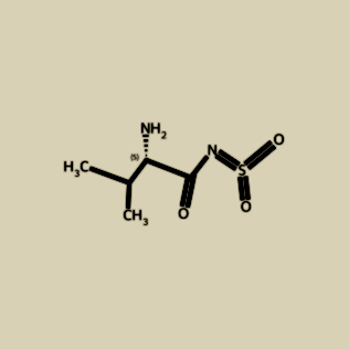 CC(C)[C@H](N)C(=O)N=S(=O)=O